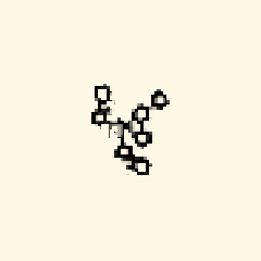 c1ccc(-c2ccc(-c3cc(-c4cccc5c4oc4ccccc45)nc(-c4ccc5oc6ccccc6c5c4)n3)c(-c3ccccc3)c2)cc1